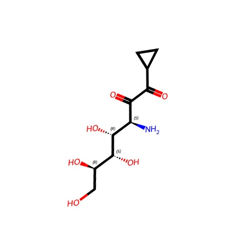 N[C@H](C(=O)C(=O)C1CC1)[C@@H](O)[C@H](O)[C@H](O)CO